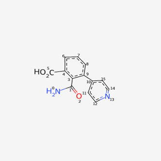 NC(=O)c1c(C(=O)O)cccc1-c1ccncc1